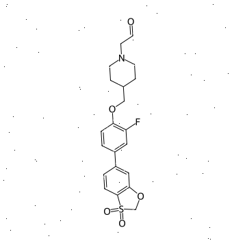 O=CCN1CCC(COc2ccc(-c3ccc4c(c3)OCS4(=O)=O)cc2F)CC1